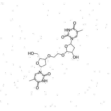 Cc1cn(C2CC(O)C(OCCOC3C[C@H](n4cc(C)c(=O)[nH]c4=O)O[C@@H]3CO)O2)c(=O)[nH]c1=O